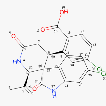 C=C(C)[C@H]1NC(=O)C[C@@H](c2cc(Cl)ccc2C(=O)O)[C@]12C(=O)Nc1cc(Cl)ccc12